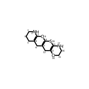 C1CNC2=C(C1)CC1=C(O2)SC2=C(C1)OCCN2